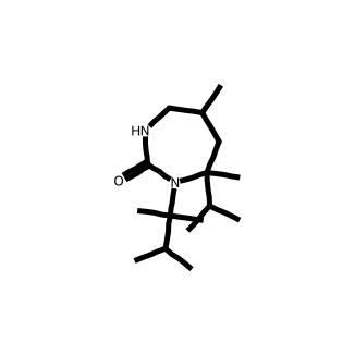 CC1CNC(=O)N(C(C)(C)C(C)C)C(C)(C(C)C)C1